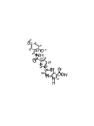 COc1ccc(OC)c(CNC(=O)c2ccc(-c3cnc4[nH]cc(C(=O)O)c4n3)s2)c1